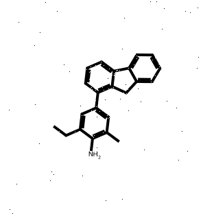 CCc1cc(-c2cccc3c2Cc2ccccc2-3)cc(C)c1N